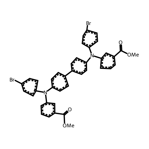 COC(=O)c1cccc(N(c2ccc(Br)cc2)c2ccc(-c3ccc(N(c4ccc(Br)cc4)c4cccc(C(=O)OC)c4)cc3)cc2)c1